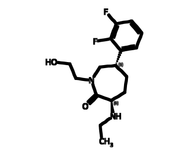 CCN[C@@H]1CC[C@@H](c2cccc(F)c2F)CN(CCO)C1=O